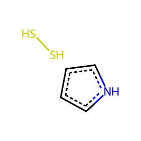 SS.c1cc[nH]c1